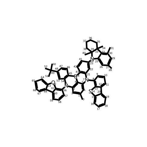 Cc1cc2c3c(c1)N(c1cccc4c1sc1ccccc14)c1cc(N4c5cc(C)cc(C)c5C5(C)CCCCC45C)ccc1B3c1ccc(C(C)(C)C)cc1N2c1cccc2c1oc1ccccc12